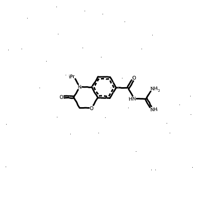 CC(C)N1C(=O)COc2cc(C(=O)NC(=N)N)ccc21